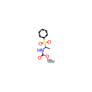 CC(NC(=O)OC(C)(C)C)S(=O)(=O)c1ccccc1